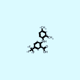 Cc1ccc(Nc2ccc(C(F)(F)F)cc2C(=O)O)c(C)c1